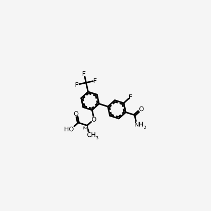 C[C@H](Oc1ccc(C(F)(F)F)cc1-c1ccc(C(N)=O)c(F)c1)C(=O)O